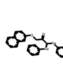 O=C(COc1ccc2ccccc2c1)C([Se]c1ccccc1)[Se]c1ccccc1